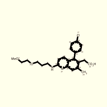 COCCOCCCNc1ccc2c(-c3ccc(Cl)cc3)c(CC(=O)O)c(C)cc2n1